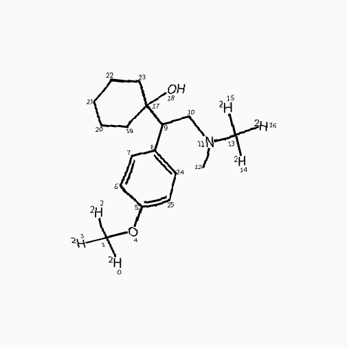 [2H]C([2H])([2H])Oc1ccc(C(CN(C)C([2H])([2H])[2H])C2(O)CCCCC2)cc1